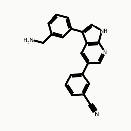 N#Cc1cccc(-c2cnc3[nH]cc(-c4cccc(CN)c4)c3c2)c1